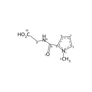 Cn1cccc1C(=O)NCC(=O)O